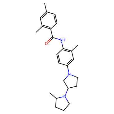 Cc1ccc(C(=O)Nc2ccc(N3CCC(N4CCCC4C)C3)cc2C)c(C)c1